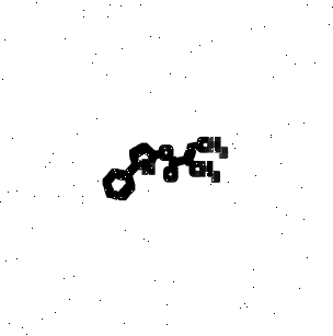 CC=C(C)C(=O)OC1C=CC(C2=CCCC=C2)=N1